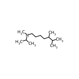 CC(C)C(C)CCCCN(C)C(C)C